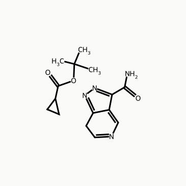 CC(C)(C)OC(=O)C1CC1.NC(=O)C1=NN=C2CC=NC=C21